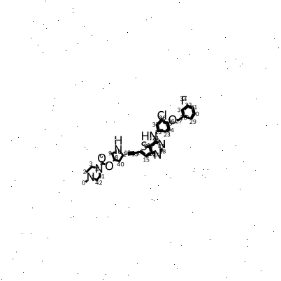 CN1CCN(C(=O)O[C@H]2CN[C@H](C#Cc3cc4ncnc(Nc5ccc(OCc6cccc(F)c6)c(Cl)c5)c4s3)C2)CC1